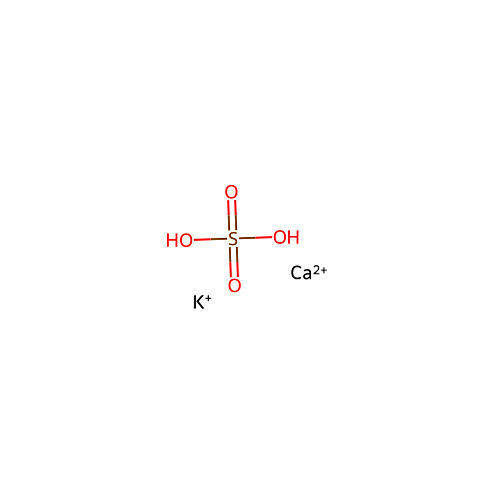 O=S(=O)(O)O.[Ca+2].[K+]